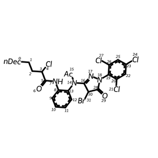 CCCCCCCCCCCCC(Cl)C(=O)Nc1ccccc1N(C(C)=O)C1=NN(c2c(Cl)cc(Cl)cc2Cl)C(=O)C1Br